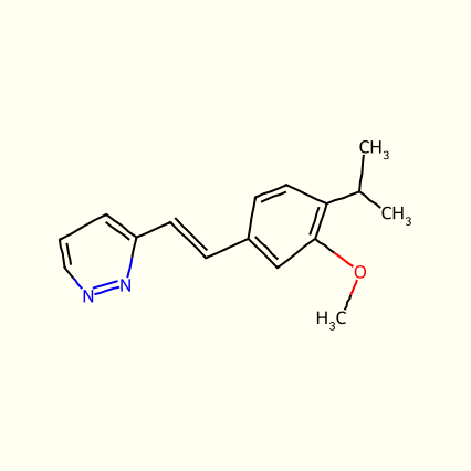 COc1cc(/C=C/c2cccnn2)ccc1C(C)C